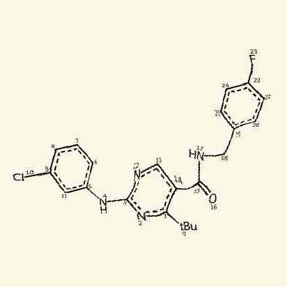 CC(C)(C)c1nc(Nc2cccc(Cl)c2)ncc1C(=O)NCc1ccc(F)cc1